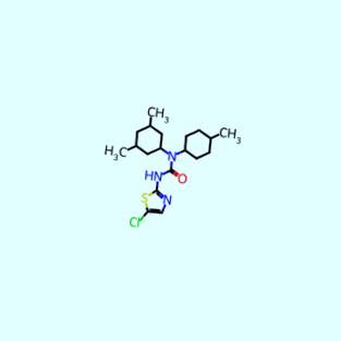 CC1CCC(N(C(=O)Nc2ncc(Cl)s2)C2CC(C)CC(C)C2)CC1